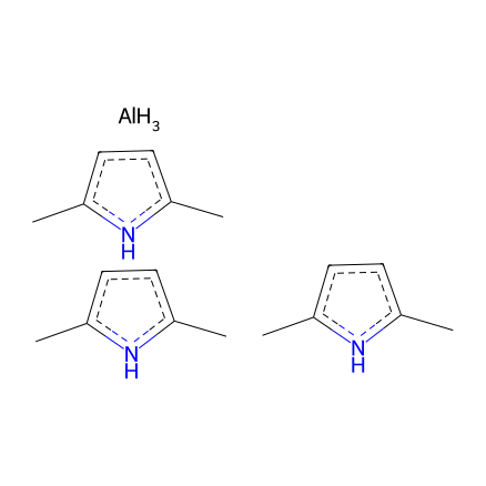 Cc1ccc(C)[nH]1.Cc1ccc(C)[nH]1.Cc1ccc(C)[nH]1.[AlH3]